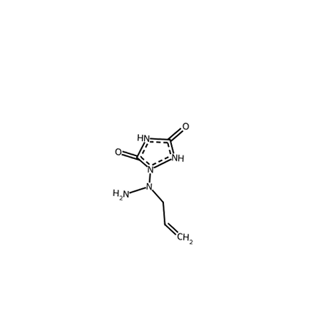 C=CCN(N)n1[nH]c(=O)[nH]c1=O